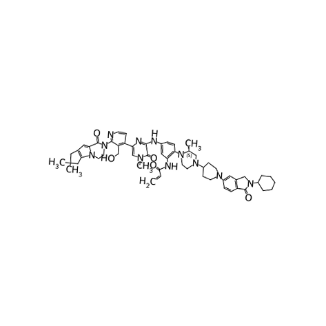 C=CC(=O)Nc1cc(Nc2nc(-c3ccnc(N4CCn5c(cc6c5CC(C)(C)C6)C4=O)c3CO)cn(C)c2=O)ccc1N1CCN(C2CCN(c3ccc4c(c3)CN(C3CCCCC3)C4=O)CC2)C[C@@H]1C